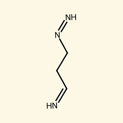 N=CCCN=N